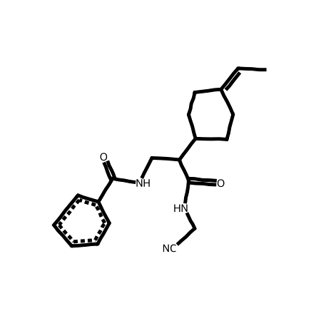 CC=C1CCC(C(CNC(=O)c2ccccc2)C(=O)NCC#N)CC1